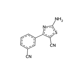 N#Cc1cccc(-c2nc(N)sc2C#N)c1